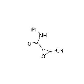 CC(C)NC(=O)C1OC1C#N